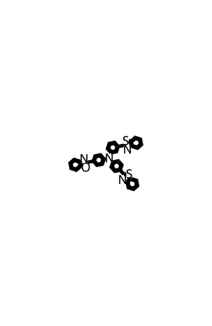 c1cc(-c2nc3ccccc3s2)cc(N(c2ccc(-c3nc4ccccc4o3)cc2)c2ccc(-c3nc4ccccc4s3)cc2)c1